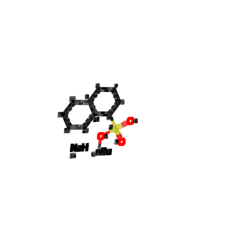 CCCCOS(=O)(=O)c1cccc2ccccc12.[NaH]